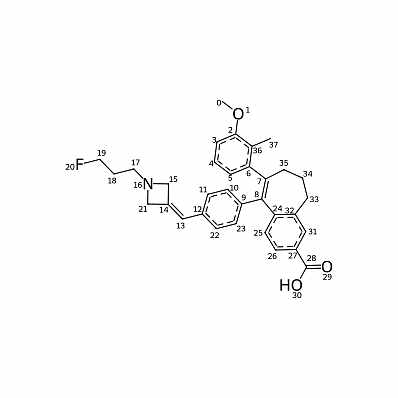 COc1cccc(C2=C(c3ccc(C=C4CN(CCCF)C4)cc3)c3ccc(C(=O)O)cc3CCC2)c1C